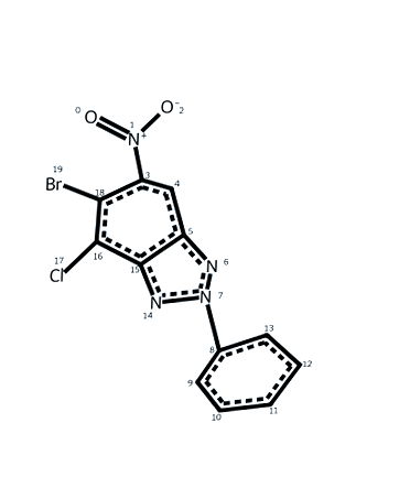 O=[N+]([O-])c1cc2nn(-c3ccccc3)nc2c(Cl)c1Br